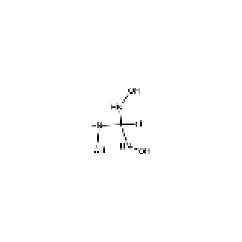 ONC(Cl)(NO)NO